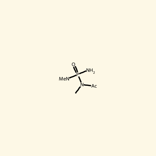 CNP(N)(=O)N(C)C(C)=O